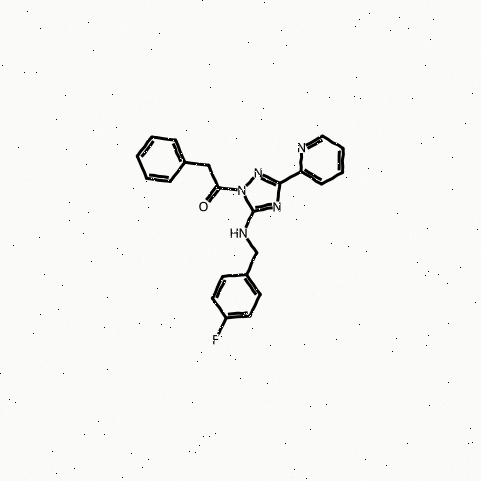 O=C(Cc1ccccc1)n1nc(-c2ccccn2)nc1NCc1ccc(F)cc1